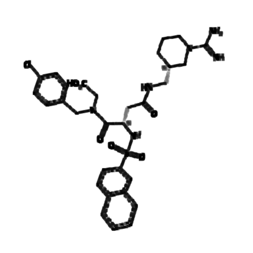 N=C(N)N1CCC[C@@H](CNC(=O)C[C@H](NS(=O)(=O)c2ccc3ccccc3c2)C(=O)N(CC(=O)O)Cc2ccc(Cl)cc2)C1